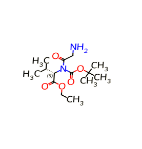 CCOC(=O)[C@H](C(C)C)N(C(=O)CN)C(=O)OC(C)(C)C